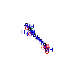 Cc1cccc(NC(=O)c2ccc(-c3nn4c(c3C(N)=O)Nc3ccc(N5CCN(C6CN(C7CN(c8ccc9c(c8)C(=O)N(C8CCC(=O)NC8=O)C9=O)C7)C6)CC5)cc3CC4)c(F)c2C)n1